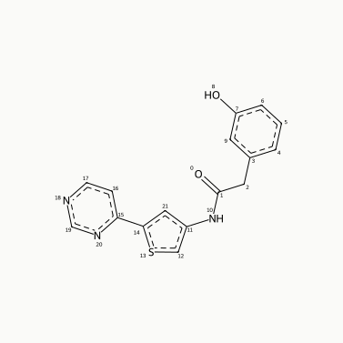 O=C(Cc1cccc(O)c1)Nc1csc(-c2ccncn2)c1